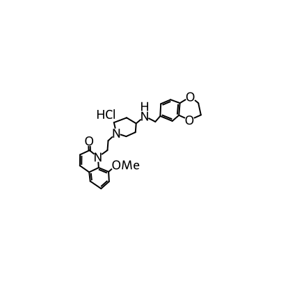 COc1cccc2ccc(=O)n(CCN3CCC(NCc4ccc5c(c4)OCCO5)CC3)c12.Cl